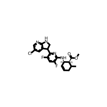 COC(=O)[C@H]1C(C)CC=C[C@@H]1Nc1nc(C2CNc3ncc(Cl)cc32)c(F)cc1F